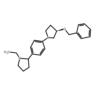 CCN1CCCC1c1ccc(N2CC[C@@H](OCc3ccccc3)C2)cc1